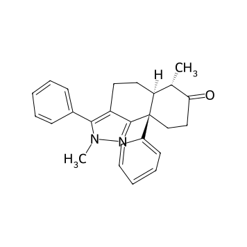 C[C@@H]1C(=O)CC[C@]2(c3ccccc3)c3nn(C)c(-c4ccccc4)c3CC[C@@H]12